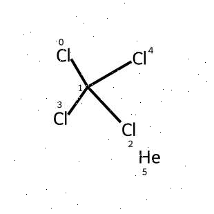 ClC(Cl)(Cl)Cl.[He]